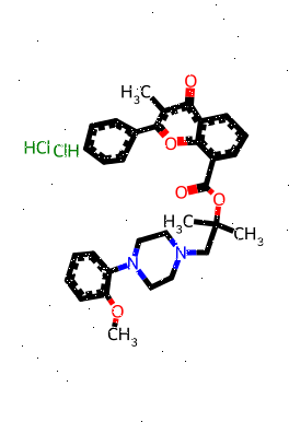 COc1ccccc1N1CCN(CC(C)(C)OC(=O)c2cccc3c(=O)c(C)c(-c4ccccc4)oc23)CC1.Cl.Cl